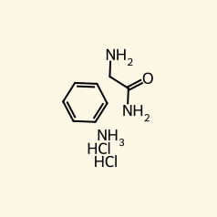 Cl.Cl.N.NCC(N)=O.c1ccccc1